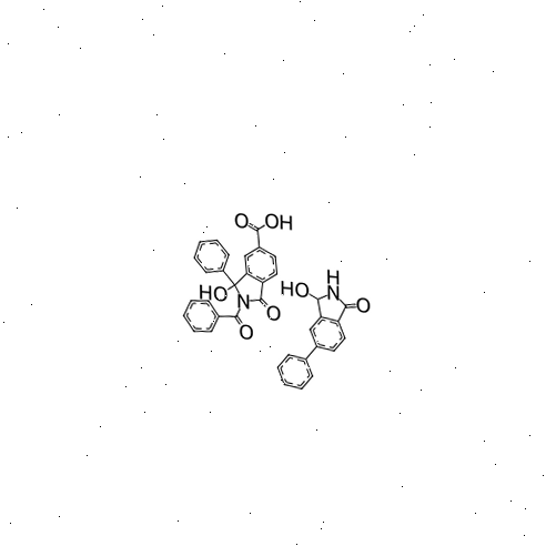 O=C(O)c1ccc2c(c1)C(O)(c1ccccc1)N(C(=O)c1ccccc1)C2=O.O=C1NC(O)c2cc(-c3ccccc3)ccc21